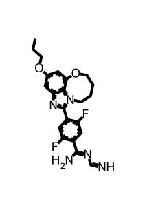 CCCOc1cc2c3c(c1)nc(-c1cc(F)c(/C(N)=N/C=N)cc1F)n3CCCCO2